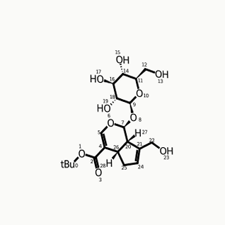 CC(C)(C)OC(=O)C1=CO[C@@H](O[C@@H]2O[C@H](CO)[C@@H](O)[C@H](O)[C@H]2O)[C@@H]2C(CO)=CC[C@H]12